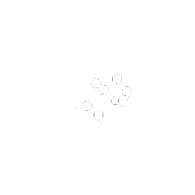 C1=CC(c2ccccc2)(c2ccc(N3CCOCC3)cc2)Oc2c1c1c(c3ccccc23)-c2ccccc2C12c1cccc3ccc4cccc2c4c13